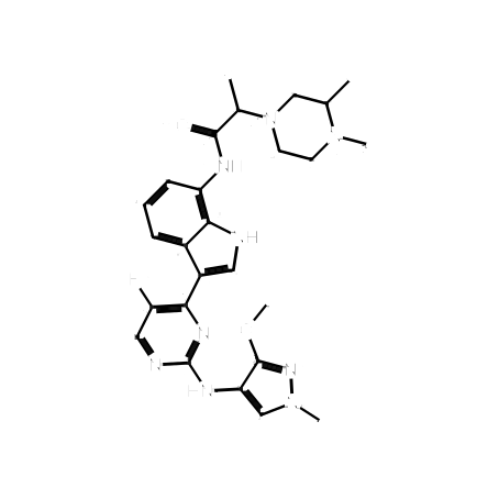 COc1nn(C)cc1Nc1ncc(F)c(-c2c[nH]c3c(NC(=O)C(C)N4CCN(C)C(C)C4)cccc23)n1